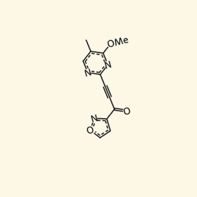 COc1nc(C#CC(=O)c2ccon2)ncc1C